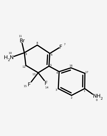 Nc1ccc(C2=C(F)CC(N)(Br)CC2(F)F)cc1